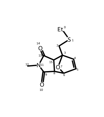 CCSCC12C=CC(O1)C1C(=O)N(C)C(=O)C12